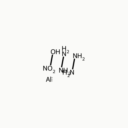 NN.NN.O=[N+]([O-])O.[Al]